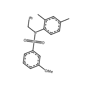 COc1cccc(S(=O)(=O)N(CC(C)C)c2ccc(C)cc2C)c1